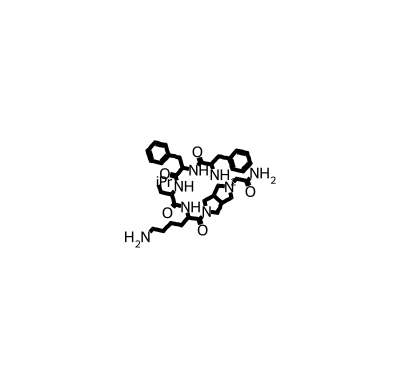 CC(C)CC(NC(=O)C(Cc1ccccc1)NC(=O)C(N)Cc1ccccc1)C(=O)NC(CCCCN)C(=O)N1CC2CN(CC(N)=O)CC2C1